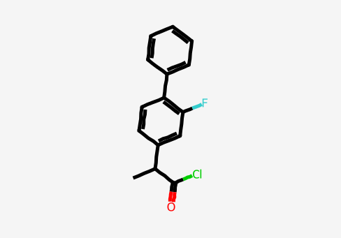 CC(C(=O)Cl)c1ccc(-c2ccccc2)c(F)c1